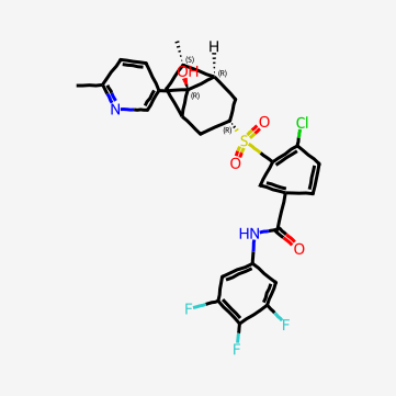 Cc1ccc([C@@]2(O)C3C[C@@H](S(=O)(=O)c4cc(C(=O)Nc5cc(F)c(F)c(F)c5)ccc4Cl)C[C@@H]2[C@@H](C)C3)cn1